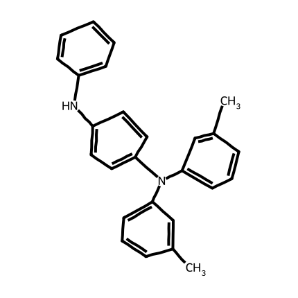 Cc1cccc(N(c2ccc(Nc3ccccc3)cc2)c2cccc(C)c2)c1